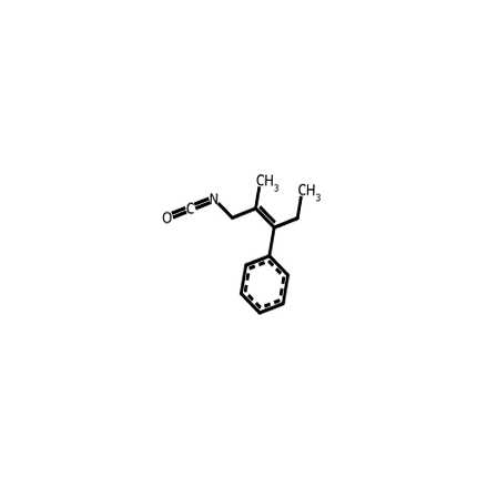 CCC(=C(C)CN=C=O)c1ccccc1